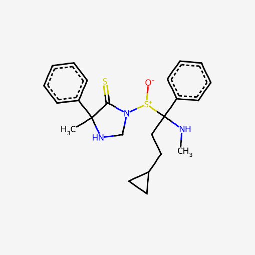 CNC(CCC1CC1)(c1ccccc1)[S+]([O-])N1CNC(C)(c2ccccc2)C1=S